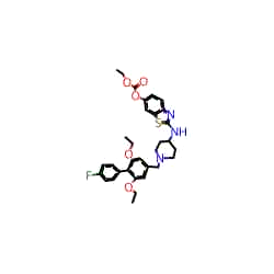 CCOC(=O)Oc1ccc2nc(NC3CCN(Cc4cc(OCC)c(-c5ccc(F)cc5)c(OCC)c4)CC3)sc2c1